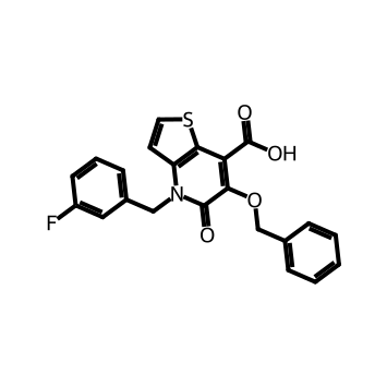 O=C(O)c1c(OCc2ccccc2)c(=O)n(Cc2cccc(F)c2)c2ccsc12